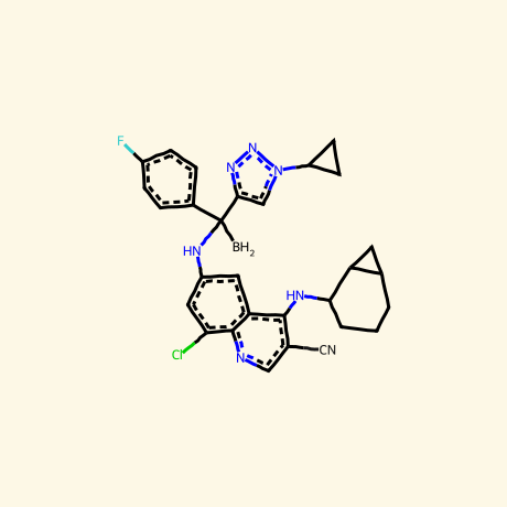 BC(Nc1cc(Cl)c2ncc(C#N)c(NC3CCCC4CC43)c2c1)(c1ccc(F)cc1)c1cn(C2CC2)nn1